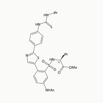 COC(=O)[C@@H](NS(=O)(=O)c1cc(NC(C)=O)ccc1-c1cnc(-c2ccc(NC(=S)NC(C)C)cc2)s1)C(C)C